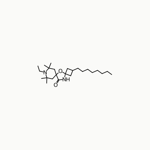 CCCCCCCCC1CC2(C1)NC(=O)C1(CC(C)(C)N(CC)C(C)(C)C1)O2